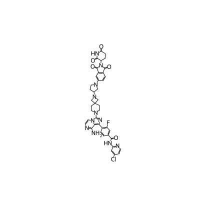 Nc1nccn2c(N3CCC4(CC3)CN(C3CCN(c5ccc6c(c5)C(=O)N(C5CCC(=O)NC5=O)C6=O)C3)C4)nc(-c3ccc(C(=O)Nc4cc(Cl)ccn4)cc3F)c12